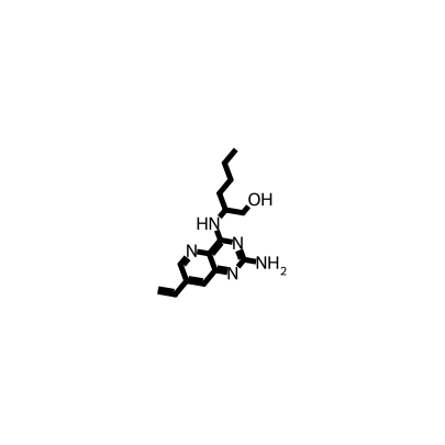 C=Cc1cnc2c(NC(CO)CCCC)nc(N)nc2c1